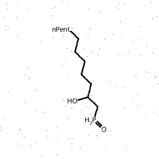 CCCCCCCCCCC(O)C[PH2]=O